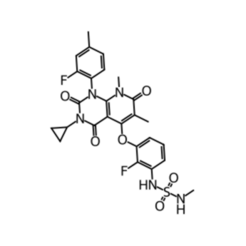 CNS(=O)(=O)Nc1cccc(Oc2c(C)c(=O)n(C)c3c2c(=O)n(C2CC2)c(=O)n3-c2ccc(C)cc2F)c1F